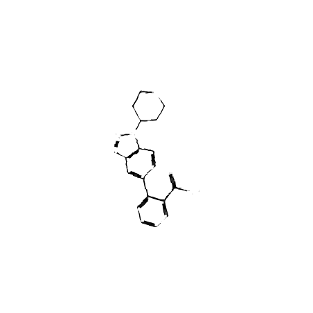 NC(=O)c1ccccc1-c1ccc2c(c1)nnn2C1CCOCC1